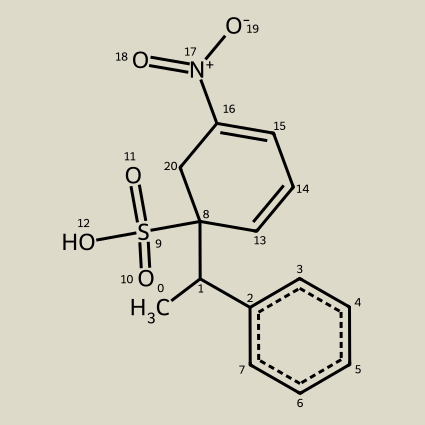 CC(c1ccccc1)C1(S(=O)(=O)O)C=CC=C([N+](=O)[O-])C1